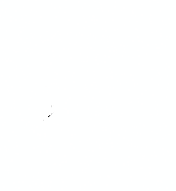 C[C@@H](C=O)Cc1ccc(C2CCC2)cc1